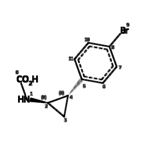 O=C(O)N[C@@H]1C[C@H]1c1ccc(Br)cc1